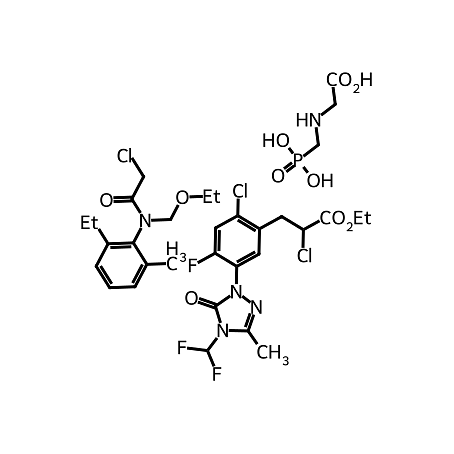 CCOC(=O)C(Cl)Cc1cc(-n2nc(C)n(C(F)F)c2=O)c(F)cc1Cl.CCOCN(C(=O)CCl)c1c(C)cccc1CC.O=C(O)CNCP(=O)(O)O